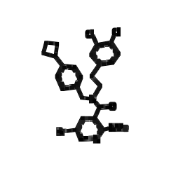 CNc1ncc(Br)cc1C(=O)N(CCc1ccc(Cl)c(Cl)c1)Cc1ccc(C2CCC2)cc1